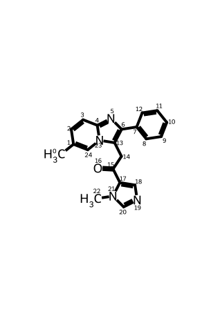 Cc1ccc2nc(-c3ccccc3)c(CC(=O)c3cncn3C)n2c1